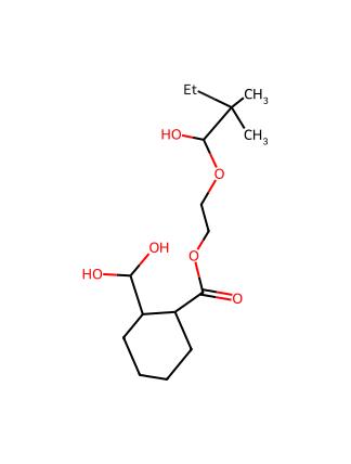 CCC(C)(C)C(O)OCCOC(=O)C1CCCCC1C(O)O